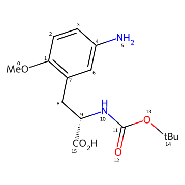 COc1ccc(N)cc1C[C@H](NC(=O)OC(C)(C)C)C(=O)O